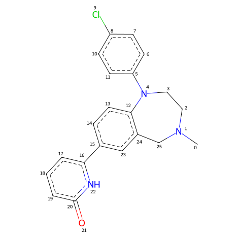 CN1CCN(c2ccc(Cl)cc2)c2ccc(-c3cccc(=O)[nH]3)cc2C1